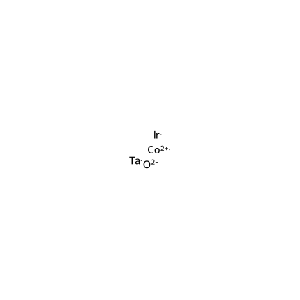 [Co+2].[Ir].[O-2].[Ta]